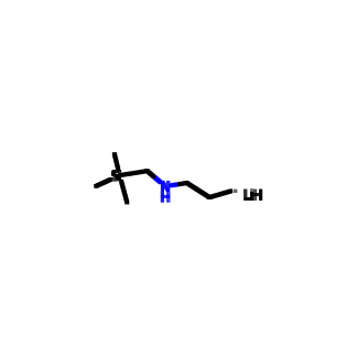 [CH2]CCNC[Si](C)(C)C.[LiH]